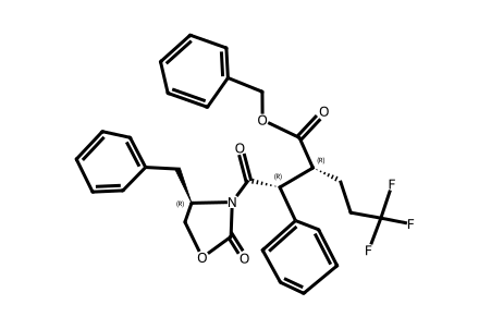 O=C(OCc1ccccc1)[C@H](CCC(F)(F)F)[C@@H](C(=O)N1C(=O)OC[C@H]1Cc1ccccc1)c1ccccc1